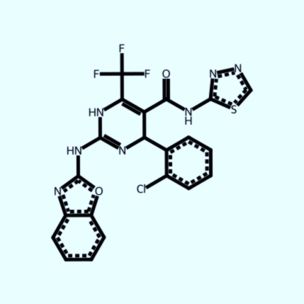 O=C(Nc1nncs1)C1=C(C(F)(F)F)NC(Nc2nc3ccccc3o2)=NC1c1ccccc1Cl